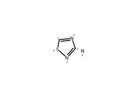 [N].c1ncsn1